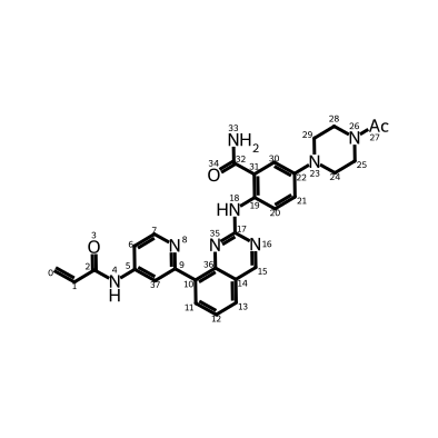 C=CC(=O)Nc1ccnc(-c2cccc3cnc(Nc4ccc(N5CCN(C(C)=O)CC5)cc4C(N)=O)nc23)c1